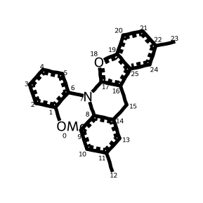 COc1ccccc1N1c2ccc(C)cc2Cc2c1oc1ccc(C)cc21